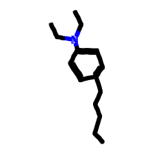 CCCCCc1ccc(N(CC)CC)cc1